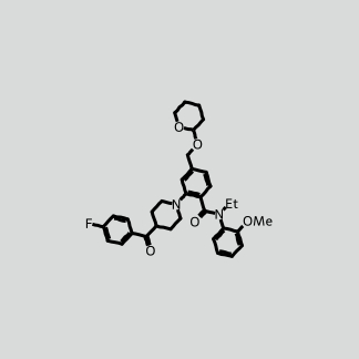 CCN(C(=O)c1ccc(COC2CCCCO2)cc1N1CCC(C(=O)c2ccc(F)cc2)CC1)c1ccccc1OC